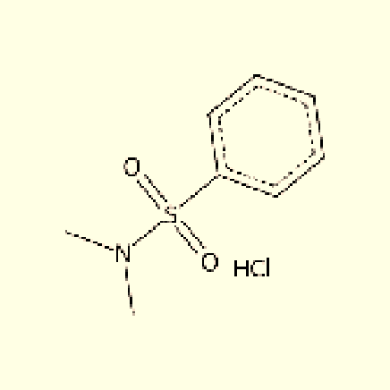 CN(C)S(=O)(=O)c1ccccc1.Cl